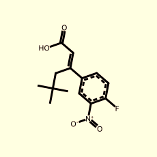 CC(C)(C)C/C(=C\C(=O)O)c1ccc(F)c([N+](=O)[O-])c1